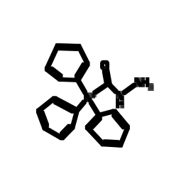 NNC(=O)[N+](c1ccccc1)(c1ccccc1)c1ccccc1